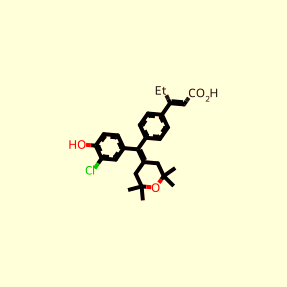 CC/C(=C\C(=O)O)c1ccc(C(=C2CC(C)(C)OC(C)(C)C2)c2ccc(O)c(Cl)c2)cc1